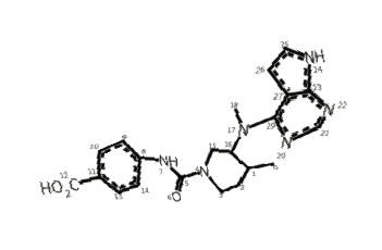 CC1CCN(C(=O)Nc2ccc(C(=O)O)cc2)CC1N(C)c1ncnc2[nH]ccc12